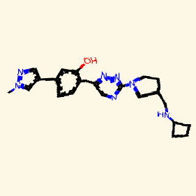 Cn1cc(-c2ccc(-c3cnc(N4CCC(CNC5CCC5)C4)nn3)c(O)c2)cn1